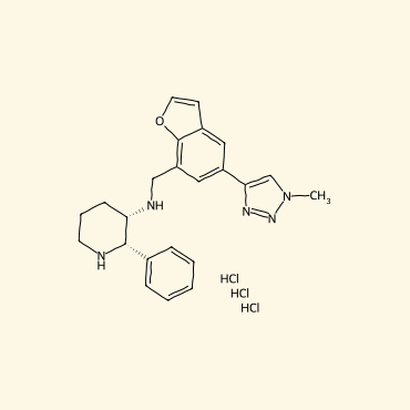 Cl.Cl.Cl.Cn1cc(-c2cc(CN[C@H]3CCCN[C@H]3c3ccccc3)c3occc3c2)nn1